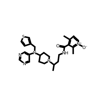 Cc1cc[n+]([O-])c(C)c1C(=O)NCCC(C)N1CCC(N(Cc2ccsc2)c2cncnc2)CC1